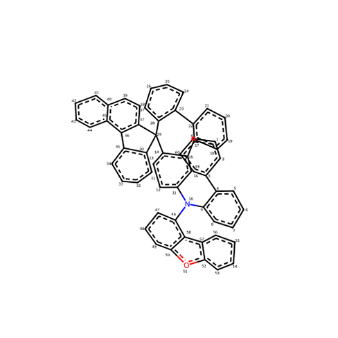 c1ccc(-c2ccccc2N(c2ccc3c(c2)-c2ccccc2-c2ccccc2C32c3ccccc3-c3c2ccc2ccccc32)c2cccc3oc4ccccc4c23)cc1